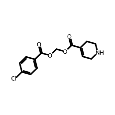 O=C(OCOC(=O)c1ccc(Cl)cc1)C1=CCNCC1